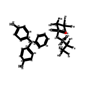 O=S(=O)([N-]S(=O)(=O)C(F)(F)C(F)(F)F)C(F)(F)C(F)(F)F.Oc1ccc([S+](c2ccccc2)c2ccc(O)cc2)cc1